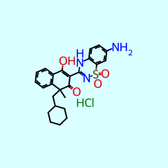 CC1(CC2CCCCC2)C(=O)C(C2=NS(=O)(=O)c3cc(N)ccc3N2)=C(O)c2ccccc21.Cl